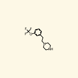 FC(F)(F)Oc1cccc(CCN2CCNCC2)c1